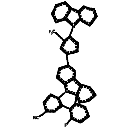 N#Cc1ccc(-n2c3ccccc3c3cc(-c4ccc(-n5c6ccccc6c6ccccc65)c(C(F)(F)F)c4)ccc32)c(-c2c(F)cccc2F)c1